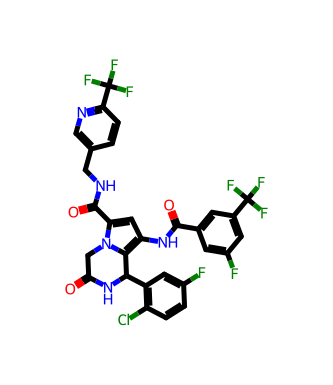 O=C1Cn2c(C(=O)NCc3ccc(C(F)(F)F)nc3)cc(NC(=O)c3cc(F)cc(C(F)(F)F)c3)c2C(c2cc(F)ccc2Cl)N1